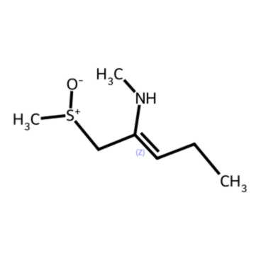 CC/C=C(/C[S+](C)[O-])NC